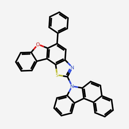 c1ccc(-c2cc3nc(-n4c5ccccc5c5c6ccccc6ccc54)sc3c3c2oc2ccccc23)cc1